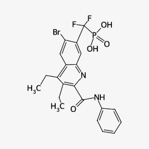 CCc1c(C(=O)Nc2ccccc2)nc2cc(C(F)(F)P(=O)(O)O)c(Br)cc2c1CC